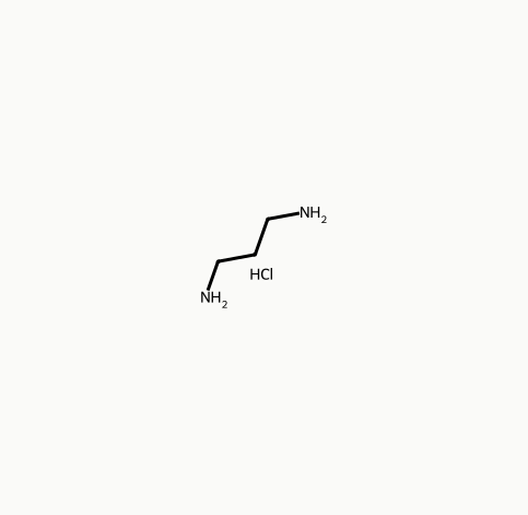 Cl.NCCCN